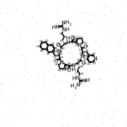 N=C(N)NCCC[C@@H]1NC(=O)[C@H]2CCCN2C(=O)[C@@H](Cc2cccnc2)NC(=O)[C@H](CCCNC(=N)N)NC(=O)[C@H]2CCCN2C(=O)[C@@H](Cc2ccc3ccccc3c2)NC1=O